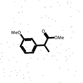 COC(=O)C(C)c1cccc(OC)c1